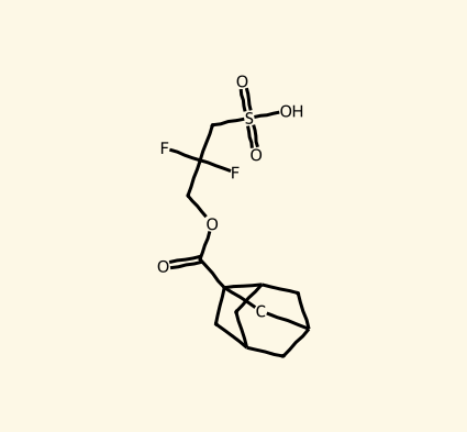 O=C(OCC(F)(F)CS(=O)(=O)O)C12CC3CC(CC1C3)C2